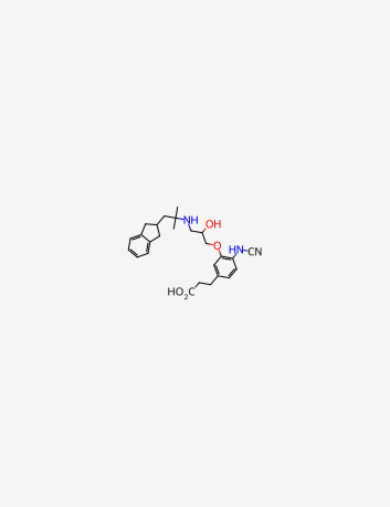 CC(C)(CC1Cc2ccccc2C1)NCC(O)COc1cc(CCC(=O)O)ccc1NC#N